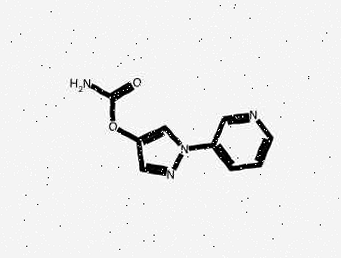 NC(=O)Oc1cnn(-c2cccnc2)c1